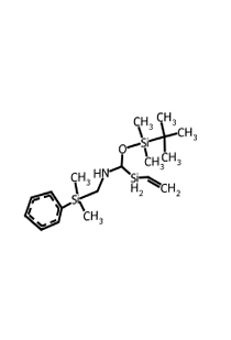 C=C[SiH2]C(NC[Si](C)(C)c1ccccc1)O[Si](C)(C)C(C)(C)C